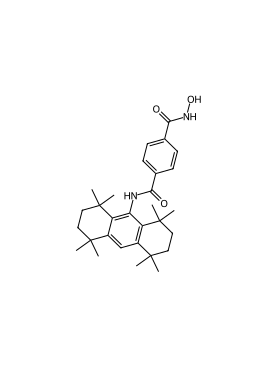 CC1(C)CCC(C)(C)c2c1cc1c(c2NC(=O)c2ccc(C(=O)NO)cc2)C(C)(C)CCC1(C)C